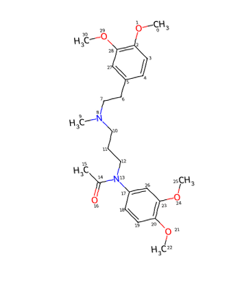 COc1ccc(CCN(C)CCCN(C(C)=O)c2ccc(OC)c(OC)c2)cc1OC